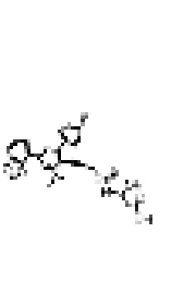 CC(C)c1nc(-c2cccc3c2OCO3)cc(-c2ccc(F)cc2)c1C#CCO[PH](=O)CC(O)CC(=O)O